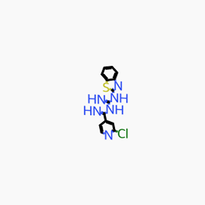 N=C(NC(=N)c1ccnc(Cl)c1)Nc1nc2ccccc2s1